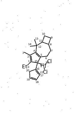 CCC1=C(C)C2=C(CCC3CCC3C2(C)C)[C]1(C1=CC=CC1)[Hf]([Cl])[Cl]